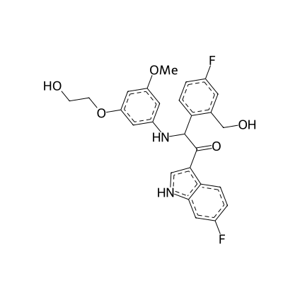 COc1cc(NC(C(=O)c2c[nH]c3cc(F)ccc23)c2ccc(F)cc2CO)cc(OCCO)c1